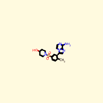 Cc1ccc(S(=O)(=O)N2CCC(O)CC2)cc1-c1cnc2c(N)nccn12